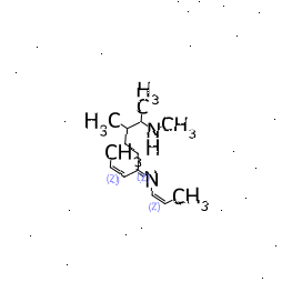 C\C=C/N=C(\C=C/C)CCC(C)C(C)NC